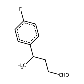 CC(CCC=O)c1ccc(F)cc1